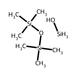 C[Si](C)(C)O[Si](C)(C)C.O[SiH3]